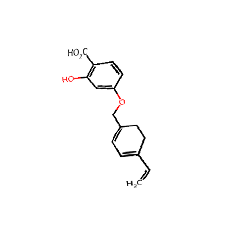 C=CC1=CC=C(COc2ccc(C(=O)O)c(O)c2)CC1